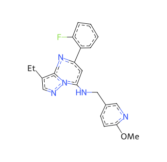 CCc1cnn2c(NCc3ccc(OC)nc3)cc(-c3ccccc3F)nc12